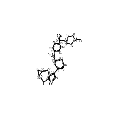 CCc1ncc(-c2ccnc(Nc3ccc(C(=O)N4CCN(C)CC4)cc3)n2)n1CC1CC1